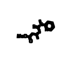 COC(=O)CC(C)SC(=S)N(C)c1ccccn1